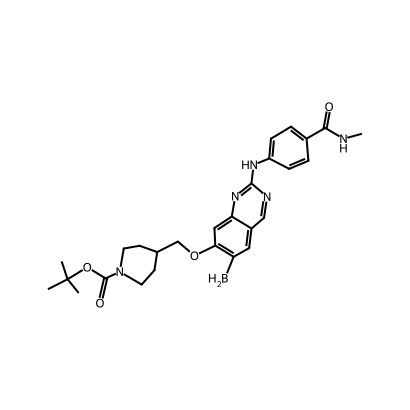 Bc1cc2cnc(Nc3ccc(C(=O)NC)cc3)nc2cc1OCC1CCN(C(=O)OC(C)(C)C)CC1